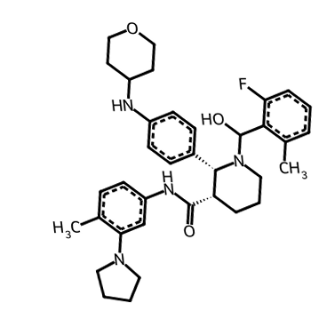 Cc1ccc(NC(=O)[C@H]2CCCN(C(O)c3c(C)cccc3F)[C@H]2c2ccc(NC3CCOCC3)cc2)cc1N1CCCC1